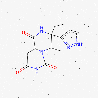 CCC1(c2cc[nH]n2)NC(=O)C2CC(=O)NC(=O)N2C1C